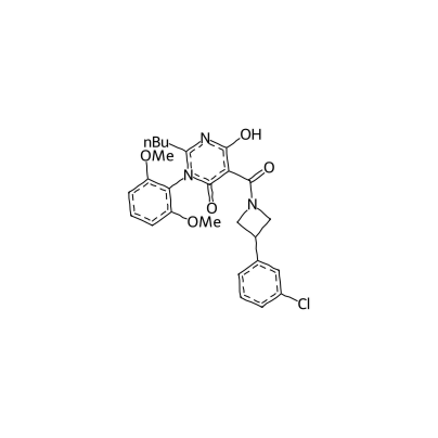 CCCCc1nc(O)c(C(=O)N2CC(c3cccc(Cl)c3)C2)c(=O)n1-c1c(OC)cccc1OC